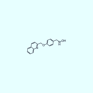 ONCc1ccc(OCc2ccc3ccccc3n2)cc1